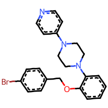 Brc1ccc(COc2ccccc2N2CCN(c3ccncc3)CC2)cc1